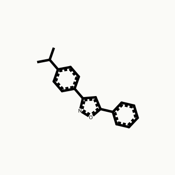 CC(C)c1ccc(-c2cc(-c3ccccc3)on2)cc1